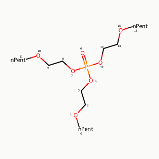 CCCCCOCCOP(=O)(OCCOCCCCC)OCCOCCCCC